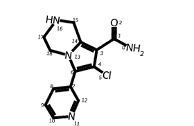 NC(=O)c1c(Cl)c(-c2cccnc2)n2c1CNCC2